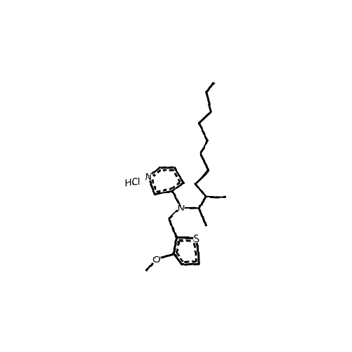 CCCCCCCCC(C)C(C)N(Cc1sccc1OC)c1cccnc1.Cl